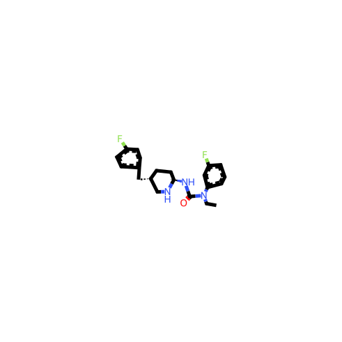 CCN(C(=O)N[C@@H]1CC[C@@H](Cc2ccc(F)cc2)CN1)c1cccc(F)c1